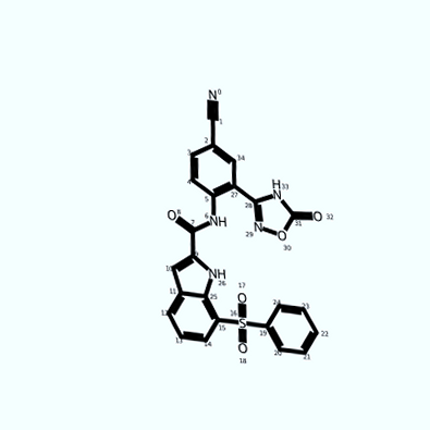 N#Cc1ccc(NC(=O)c2cc3cccc(S(=O)(=O)c4ccccc4)c3[nH]2)c(-c2noc(=O)[nH]2)c1